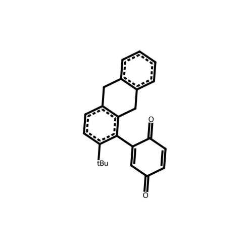 CC(C)(C)c1ccc2c(c1C1=CC(=O)C=CC1=O)Cc1ccccc1C2